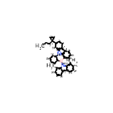 CCCC1(c2ccc3c4cccc5c4n(c3c2)-c2ccccc2B5n2c3c(C)cccc3c3cccc(C)c32)CC1